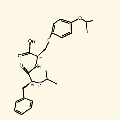 CC(C)N[C@@H](Cc1ccccc1)C(=O)N[C@H](CCc1ccc(OC(C)C)cc1)C(=O)O